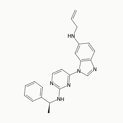 C=CCNc1ccc2ncn(-c3ccnc(N[C@@H](C)c4ccccc4)n3)c2c1